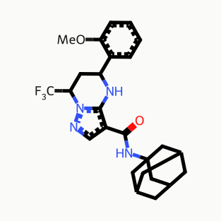 COc1ccccc1C1CC(C(F)(F)F)n2ncc(C(=O)NC34CC5CC(CC(C5)C3)C4)c2N1